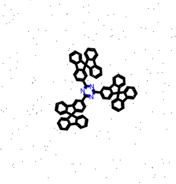 c1ccc2c(c1)-c1ccccc1C21c2ccccc2-c2cc(-c3nc(-c4ccc5c(c4)-c4ccccc4C54c5ccccc5-c5ccccc54)nc(-c4ccc5c(c4)C4(c6ccccc6-c6ccccc64)c4ccccc4-5)n3)ccc21